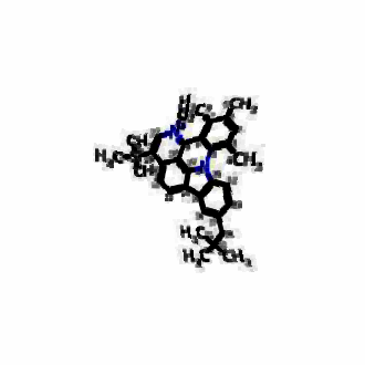 Cc1cc(C)c2c(c1C)c1c3c(ccc4c5cc(CC(C)(C)C)ccc5n2c43)c([Si](C)(C)C)c[n+]1C